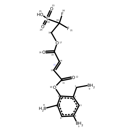 BCc1cc(B)cc(B)c1OC(=O)/C=C/C(=O)OCC(F)(F)S(=O)(=O)O